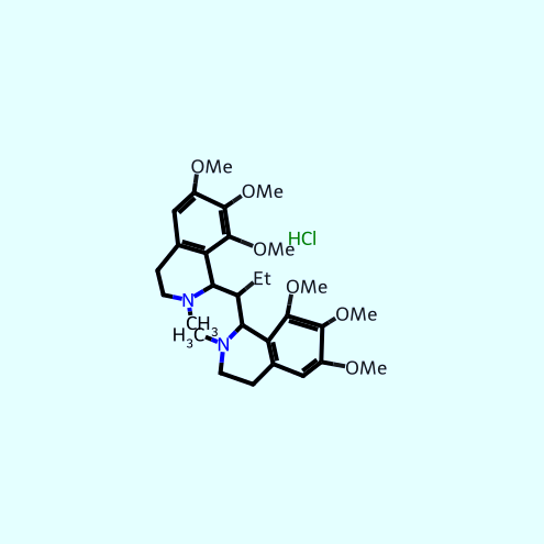 CCC(C1c2c(cc(OC)c(OC)c2OC)CCN1C)C1c2c(cc(OC)c(OC)c2OC)CCN1C.Cl